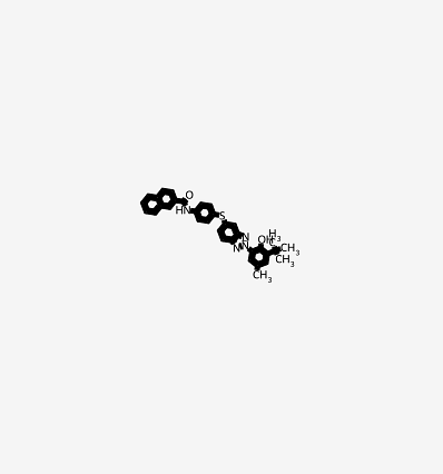 Cc1cc(-n2nc3ccc(Sc4ccc(NC(=O)c5ccc6ccccc6c5)cc4)cc3n2)c(O)c(C(C)(C)C)c1